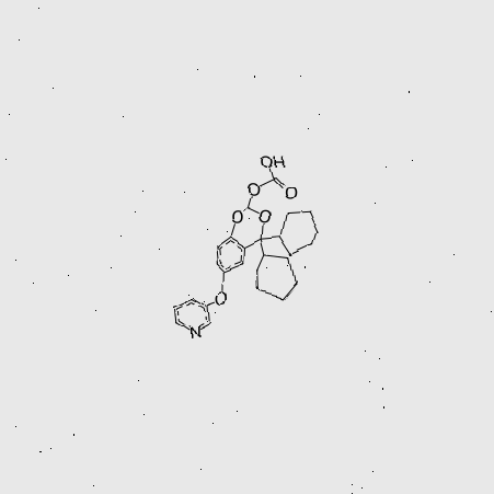 O=C(O)OC1Oc2ccc(Oc3cccnc3)cc2C(C2CCCCC2)(C2CCCCC2)O1